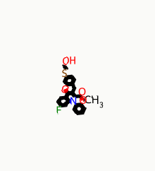 COC(=O)c1c(Cc2ccc(SCCO)cc2)c(=O)c2ccc(F)cc2n1-c1ccccc1